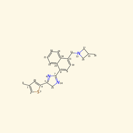 Cc1csc(C2=NC(c3ccc(CN4CC(C)C4)c4ccccc34)=NC2)c1